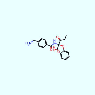 CCC(=O)C(NC(=O)c1ccc(CN)cc1)(Oc1ccccc1)C(=O)O